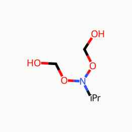 CC(C)N(OCO)OCO